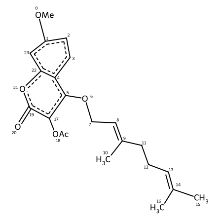 COc1ccc2c(OC/C=C(\C)CCC=C(C)C)c(OC(C)=O)c(=O)oc2c1